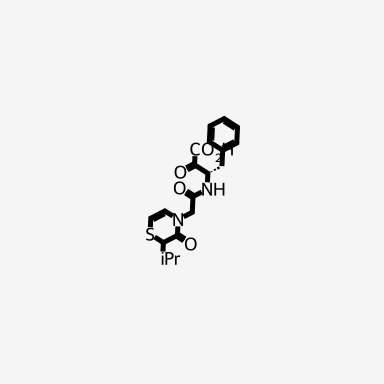 CC(C)C1SC=CN(CC(=O)N[C@@H](Cc2ccccc2)C(=O)C(=O)O)C1=O